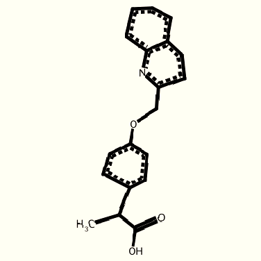 CC(C(=O)O)c1ccc(OCc2ccc3ccccc3n2)cc1